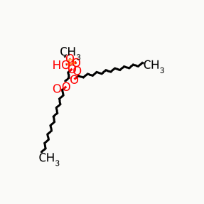 CCCCCCCCCCCCCCCC(=O)OCC(COP(=O)(O)OCC)OC(=O)CCCCCCCCCCCCCCC